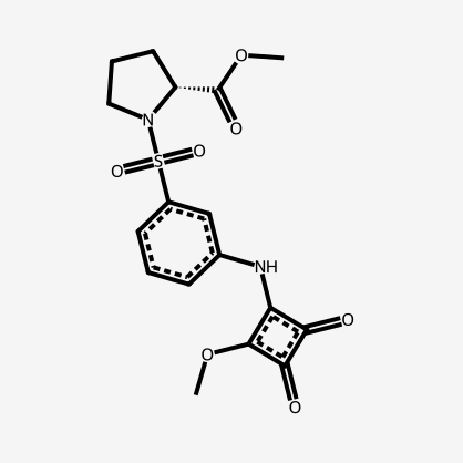 COC(=O)[C@H]1CCCN1S(=O)(=O)c1cccc(Nc2c(OC)c(=O)c2=O)c1